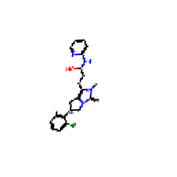 Cn1c(CCC(O)Nc2ccccn2)c2n(c1=S)C[C@@H](c1c(F)cccc1F)C2